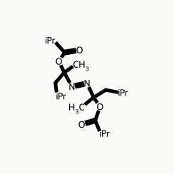 CC(C)CC(C)(N=NC(C)(CC(C)C)OC(=O)C(C)C)OC(=O)C(C)C